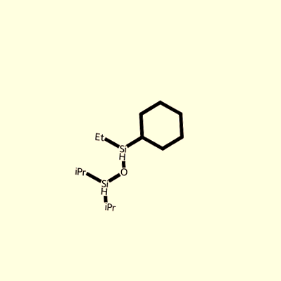 CC[SiH](O[SiH](C(C)C)C(C)C)C1CCCCC1